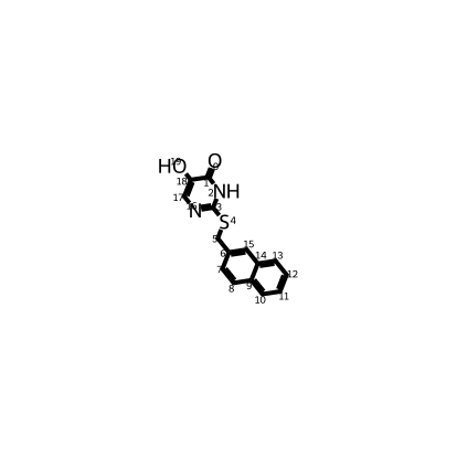 O=c1[nH]c(SCc2ccc3ccccc3c2)ncc1O